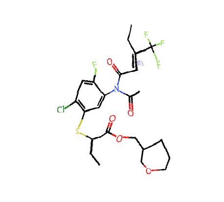 CC/C(=C\C(=O)N(C(C)=O)c1cc(SC(CC)C(=O)OCC2CCCOC2)c(Cl)cc1F)C(F)(F)F